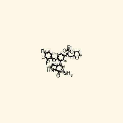 CCS(=O)(=O)N(CC1CCCO1)c1ccc(Oc2ccc(F)cc2F)c(-c2cn(C)c(=O)c3[nH]ccc23)c1